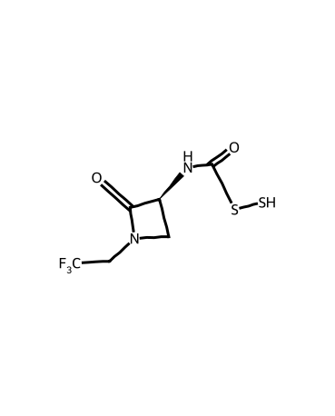 O=C(N[C@H]1CN(CC(F)(F)F)C1=O)SS